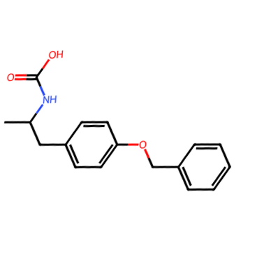 CC(Cc1ccc(OCc2ccccc2)cc1)NC(=O)O